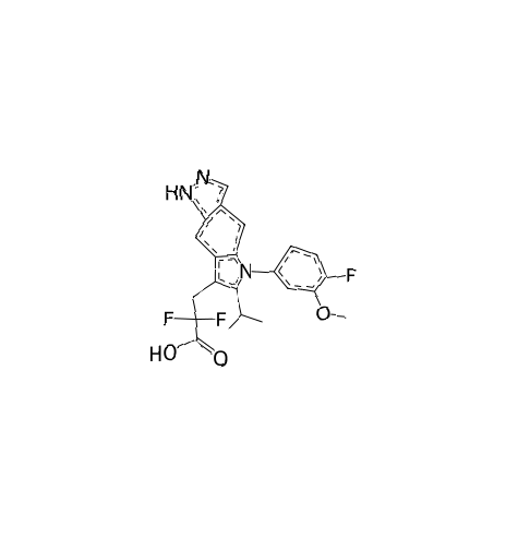 COc1cc(-n2c(C(C)C)c(CC(F)(F)C(=O)O)c3cc4[nH]ncc4cc32)ccc1F